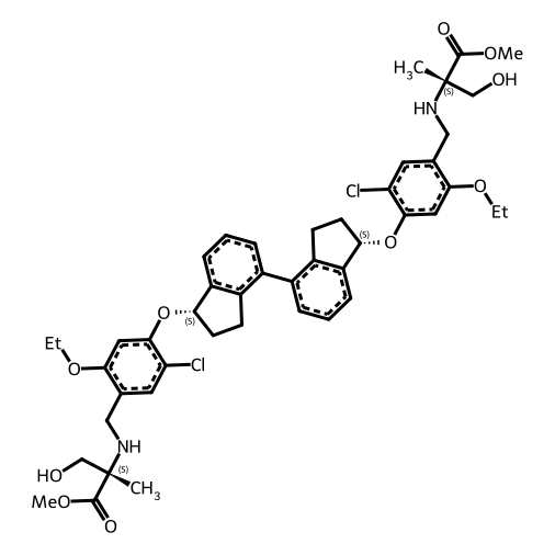 CCOc1cc(O[C@H]2CCc3c(-c4cccc5c4CC[C@@H]5Oc4cc(OCC)c(CN[C@@](C)(CO)C(=O)OC)cc4Cl)cccc32)c(Cl)cc1CN[C@@](C)(CO)C(=O)OC